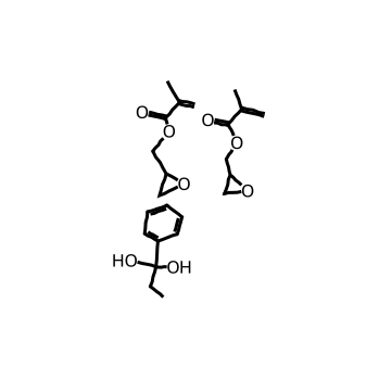 C=C(C)C(=O)OCC1CO1.C=C(C)C(=O)OCC1CO1.CCC(O)(O)c1ccccc1